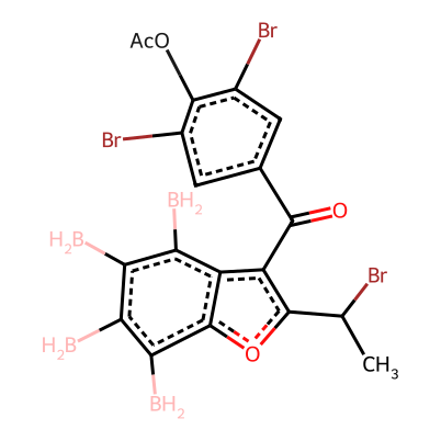 Bc1c(B)c(B)c2c(C(=O)c3cc(Br)c(OC(C)=O)c(Br)c3)c(C(C)Br)oc2c1B